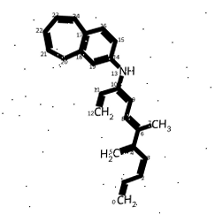 C=C/C=C\C(=C)/C(C)=C/C=C(\C=C)Nc1ccc2c(c1)CC=CC=C2